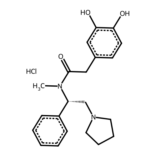 CN(C(=O)Cc1ccc(O)c(O)c1)[C@H](CN1CCCC1)c1ccccc1.Cl